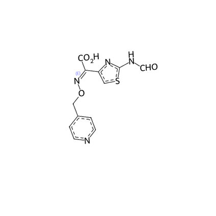 O=CNc1nc(/C(=N\OCc2ccncc2)C(=O)O)cs1